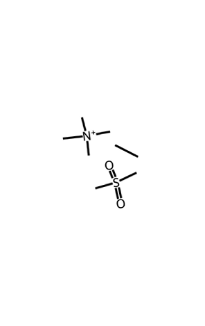 CC.CS(C)(=O)=O.C[N+](C)(C)C